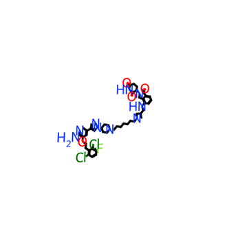 Nc1ncc(-c2cnn(C3CCN(CCCCCCCN4CC(CNc5cccc6c5CN([C@@H]5CCC(=O)NC5=O)C6=O)C4)CC3)c2)cc1OCCc1c(Cl)ccc(F)c1Cl